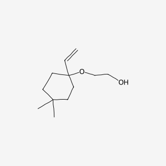 C=CC1(OCCO)CCC(C)(C)CC1